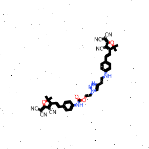 CC1(C)OC(=C(C#N)C#N)C(C#N)=C1C=Cc1ccc(NCCc2cn(CCOC(=O)Nc3ccc(C=CC4=C(C#N)C(=C(C#N)C#N)OC4(C)C)cc3)nn2)cc1